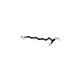 BCCCCCCCC(=C)Cl